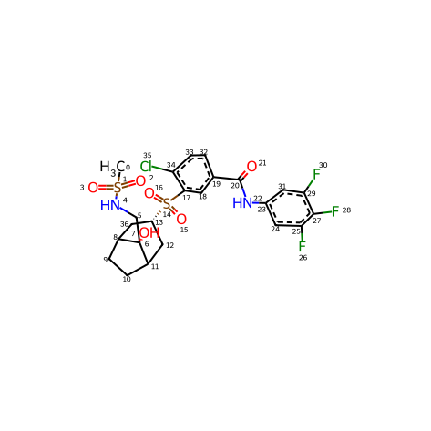 CS(=O)(=O)NC[C@]1(O)C2CCC1C[C@@H](S(=O)(=O)c1cc(C(=O)Nc3cc(F)c(F)c(F)c3)ccc1Cl)C2